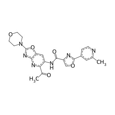 CC(=O)c1nc2nc(N3CCOCC3)oc2cc1NC(=O)c1coc(-c2ccnc(C)c2)n1